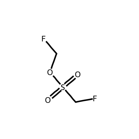 O=S(=O)(CF)OCF